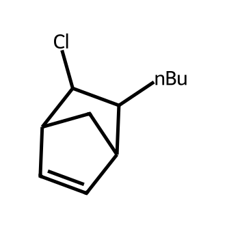 CCCCC1C2C=CC(C2)C1Cl